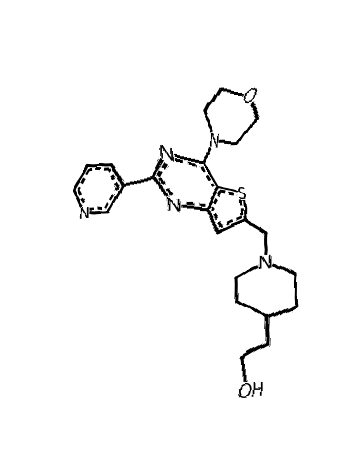 OCCC1CCN(Cc2cc3nc(-c4cccnc4)nc(N4CCOCC4)c3s2)CC1